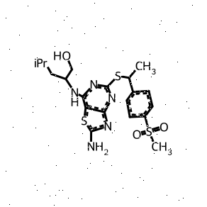 CC(C)CC(CO)Nc1nc(SC(C)c2ccc(S(C)(=O)=O)cc2)nc2nc(N)sc12